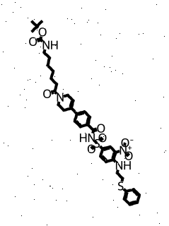 CC(C)(C)OC(=O)NCCCCCCC(=O)N1CC=C(c2ccc(C(=O)NS(=O)(=O)c3ccc(NCCSc4ccccc4)c([N+](=O)[O-])c3)cc2)CC1